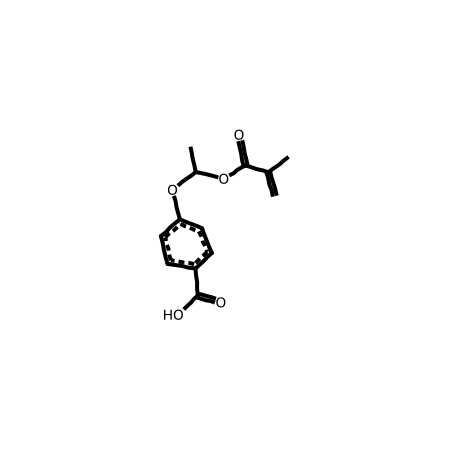 C=C(C)C(=O)OC(C)Oc1ccc(C(=O)O)cc1